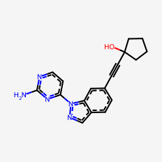 Nc1nccc(-n2ncc3ccc(C#CC4(O)CCCC4)cc32)n1